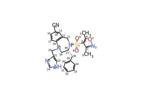 Cc1noc(C)c1S(=O)(=O)N1Cc2cc(C#N)ccc2N(Cc2c[nH]cn2)C[C@H]1Cc1ccccc1